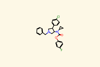 O=C(Oc1ccc(F)cc1)N(C1CC1)C1CN(Cc2ccccc2)CC1c1ccc(Cl)cc1